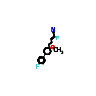 CO[C@]1(CCC=C(F)C#N)CC[C@H](c2ccc(F)cc2)CC1